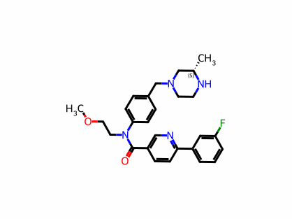 COCCN(C(=O)c1ccc(-c2cccc(F)c2)nc1)c1ccc(CN2CCN[C@@H](C)C2)cc1